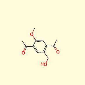 COc1cc(C(C)=O)c(CO)cc1C(C)=O